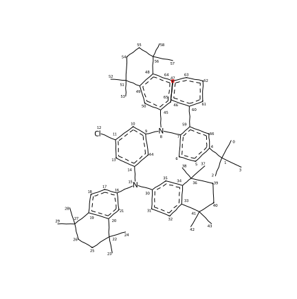 CC(C)(C)c1ccc(N(c2cc(Cl)cc(N(c3ccc4c(c3)C(C)(C)CCC4(C)C)c3ccc4c(c3)C(C)(C)CCC4(C)C)c2)c2ccc3c(c2)C(C)(C)CCC3(C)C)c(-c2ccccc2)c1